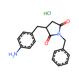 Cl.Nc1ccc(CC2CC(=O)N(Cc3ccccc3)C2=O)cc1